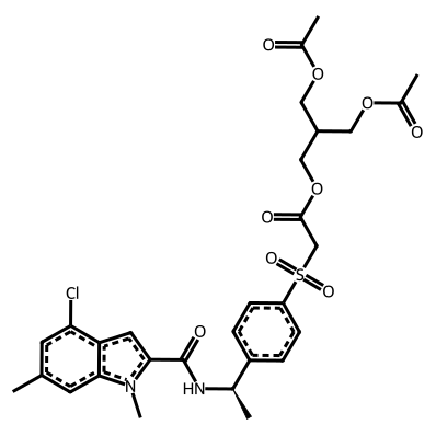 CC(=O)OCC(COC(C)=O)COC(=O)CS(=O)(=O)c1ccc([C@@H](C)NC(=O)c2cc3c(Cl)cc(C)cc3n2C)cc1